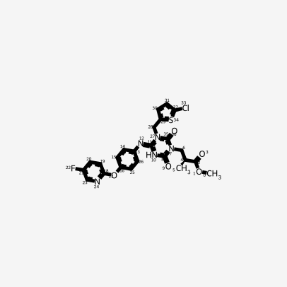 COC(=O)[C@@H](C)Cn1c(=O)[nH]/c(=N\c2ccc(Oc3ccc(F)cn3)cc2)n(Cc2ccc(Cl)s2)c1=O